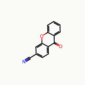 N#Cc1ccc2c(=O)c3ccccc3oc2c1